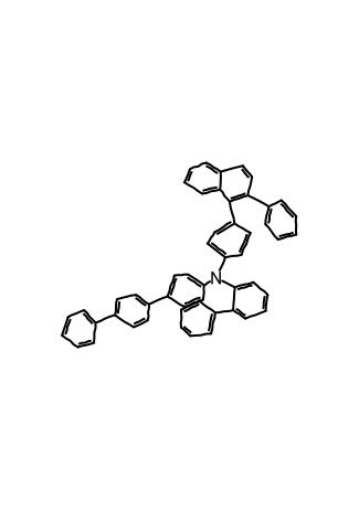 c1ccc(-c2ccc(-c3ccc(N(c4ccc(-c5c(-c6ccccc6)ccc6ccccc56)cc4)c4ccccc4-c4ccccc4)cc3)cc2)cc1